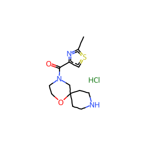 Cc1nc(C(=O)N2CCOC3(CCNCC3)C2)cs1.Cl